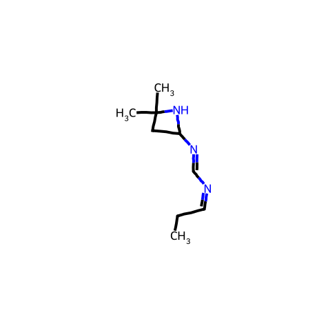 CC/C=N\C=NC1CC(C)(C)N1